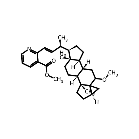 COC(=O)c1cccnc1/C=C/[C@@H](C)[C@H]1CC[C@H]2[C@@H]3CC(OC)C45C[C@H]4CC[C@]5(C)[C@H]3CC[C@]12C